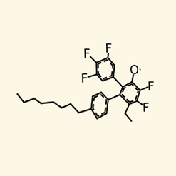 CCCCCCCCc1ccc(-c2c(CC)c(F)c(F)c([O])c2-c2cc(F)c(F)c(F)c2)cc1